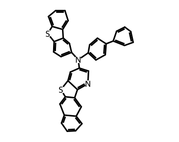 c1ccc(-c2ccc(N(c3cnc4c(c3)sc3cc5ccccc5cc34)c3ccc4sc5ccccc5c4c3)cc2)cc1